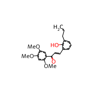 C=CCc1cccc(C=CC(=O)c2cc(OC)c(OC)cc2OC)c1O